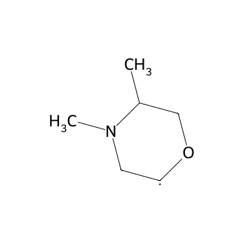 CC1CO[CH]CN1C